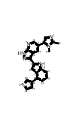 Cc1ncc(-c2cnc3[nH]nc(-c4cc5c(-c6ccsc6)cccc5[nH]4)c3c2)n1C